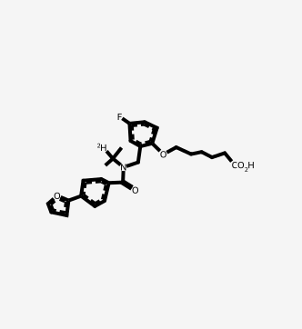 [2H]C(C)(C)N(Cc1cc(F)ccc1OCCCCCC(=O)O)C(=O)c1ccc(-c2ccco2)cc1